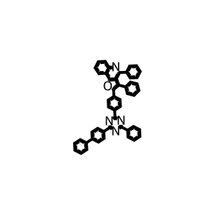 c1ccc(-c2ccc(-c3nc(-c4ccccc4)nc(-c4ccc(-c5oc6c(c(-c7ccccc7)nc7ccccc76)c5-c5ccccc5)cc4)n3)cc2)cc1